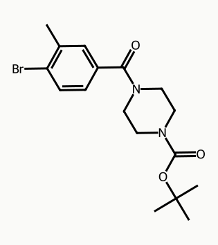 Cc1cc(C(=O)N2CCN(C(=O)OC(C)(C)C)CC2)ccc1Br